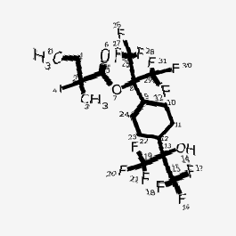 CCC(C)(I)C(=O)OC(C1CCC(C(O)(C(F)(F)F)C(F)(F)F)CC1)(C(F)(F)F)C(F)(F)F